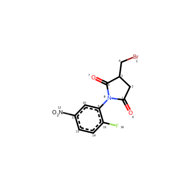 O=C1CC(CBr)C(=O)N1c1cc([N+](=O)[O-])ccc1F